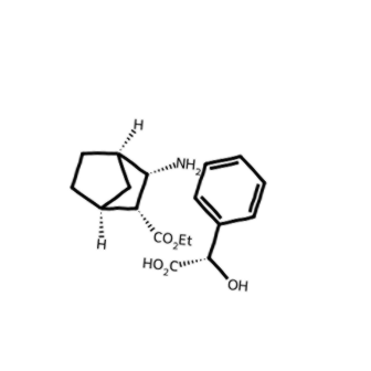 CCOC(=O)[C@@H]1[C@H]2CC[C@H](C2)[C@@H]1N.O=C(O)[C@@H](O)c1ccccc1